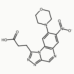 O=C(O)CCc1nnc2cnc3cc([N+](=O)[O-])c(N4CCOCC4)cc3n12